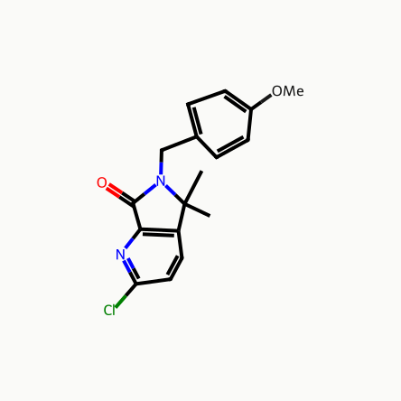 COc1ccc(CN2C(=O)c3nc(Cl)ccc3C2(C)C)cc1